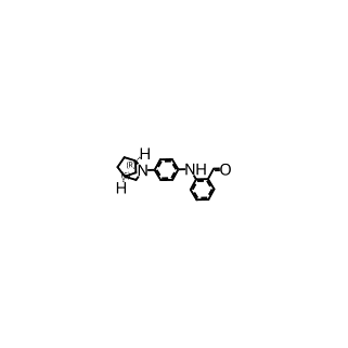 O=Cc1ccccc1Nc1ccc(N2C[C@H]3CC[C@@H]2C3)cc1